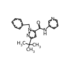 CC(C)(C)c1cc(C(=O)Nc2cccnc2)n(Cc2ccccc2)n1